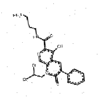 CCC(CC)Cn1c(=O)c(-c2ccccc2)cc2c(O)c(C(=O)NCCCC(=O)O)ncc21